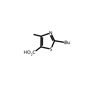 CCC(C)c1nc(C)c(C(=O)O)s1